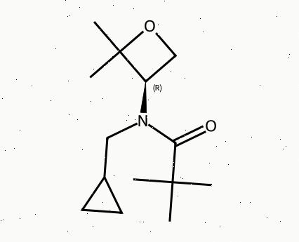 CC(C)(C)C(=O)N(CC1CC1)[C@@H]1COC1(C)C